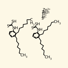 CCCCCCCc1cccc(NC(=S)S)c1CCCCCCC.CCCCCCCc1cccc(NC(=S)S)c1CCCCCCC.[S-2].[S-2].[Zn+2].[Zn+2].[Zn+2]